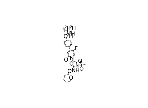 [2H]C([2H])([2H])C([2H])([2H])Oc1ccc(-c2cc(=O)n(CC[C@](C)(C(=O)NOC3CCCCO3)S(C)(=O)=O)cc2F)cc1